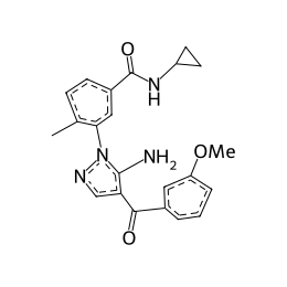 COc1cccc(C(=O)c2cnn(-c3cc(C(=O)NC4CC4)ccc3C)c2N)c1